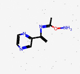 C=C(/N=C(/C)ON)c1cnccn1